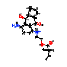 CCC(C)(C)C(=O)OCCNc1ccc(N)c2c1C(=O)c1ccccc1C2=O